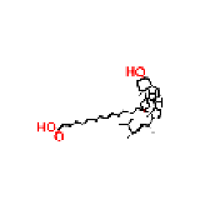 CC(C)[C@@H](C)C=C[C@@H](C)[C@H]1CC[C@H]2[C@@H]3CCC4CC(O)CC[C@]4(C)C3(CCCCCCCCCCCCCC=CC(=O)O)CC[C@]12C